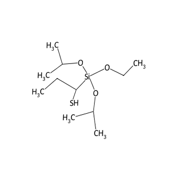 CCO[Si](OC(C)C)(OC(C)C)C(S)CC